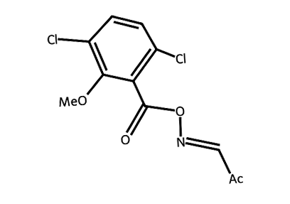 COc1c(Cl)ccc(Cl)c1C(=O)ON=CC(C)=O